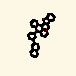 c1ccc(N(c2cccc(-c3ccc4ccccc4c3)c2)c2ccccc2-c2cccc3c2oc2ccccc23)cc1